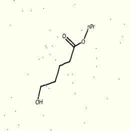 CCCOC(=O)CCCCO